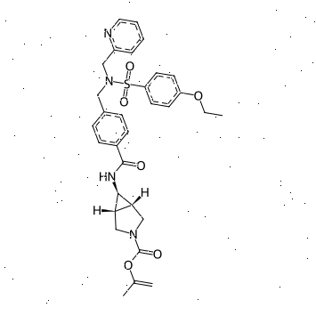 C=C(C)OC(=O)N1C[C@@H]2[C@H](C1)[C@H]2NC(=O)c1ccc(CN(Cc2ccccn2)S(=O)(=O)c2ccc(OCC)cc2)cc1